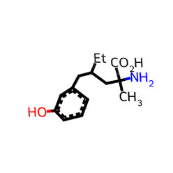 CCC(Cc1cccc(O)c1)CC(C)(N)C(=O)O